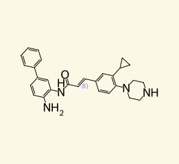 Nc1ccc(-c2ccccc2)cc1NC(=O)/C=C/c1ccc(N2CCNCC2)c(C2CC2)c1